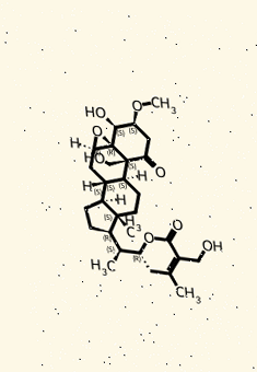 CO[C@H]1CC(=O)[C@]2(CO)[C@H]3CC[C@]4(C)[C@@H]([C@H](C)[C@H]5CC(C)=C(CO)C(=O)O5)CC[C@H]4[C@@H]3C[C@H]3O[C@]32[C@H]1O